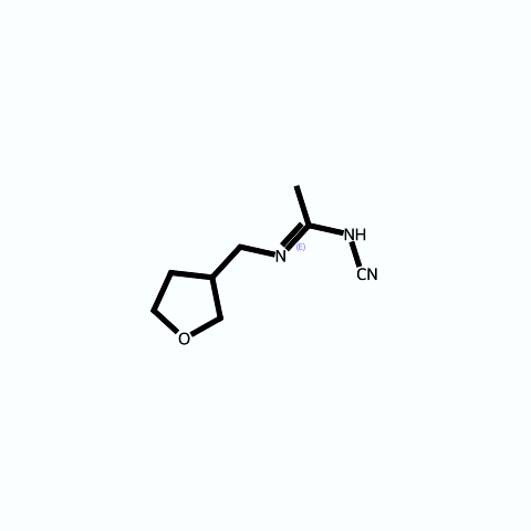 C/C(=N\CC1CCOC1)NC#N